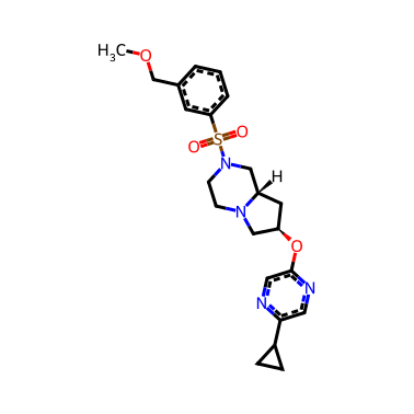 COCc1cccc(S(=O)(=O)N2CCN3C[C@H](Oc4cnc(C5CC5)cn4)C[C@H]3C2)c1